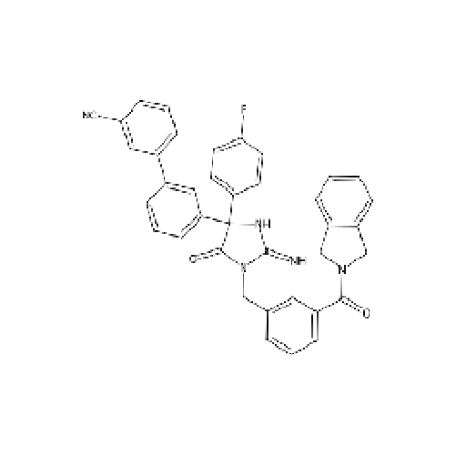 N#Cc1cccc(-c2cccc(C3(c4ccc(F)cc4)NC(=N)N(Cc4cccc(C(=O)N5Cc6ccccc6C5)c4)C3=O)c2)c1